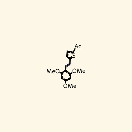 COc1cc(OC)c(/C=C/c2ccc(C(C)=O)s2)c(OC)c1